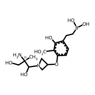 C[C@](N)(CO)C(O)N1CC(Oc2ccc(CCB(O)O)c(O)c2C(=O)O)C1